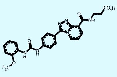 O=C(O)CCNC(=O)c1cccn2c(-c3ccc(NC(=O)Nc4ccccc4OC(F)(F)F)cc3)nnc12